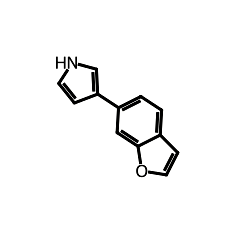 c1cc(-c2ccc3ccoc3c2)c[nH]1